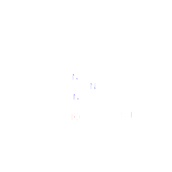 Cc1ccc(O)c(-c2nc(-c3ccccc3)nc(-c3ccccc3)n2)c1